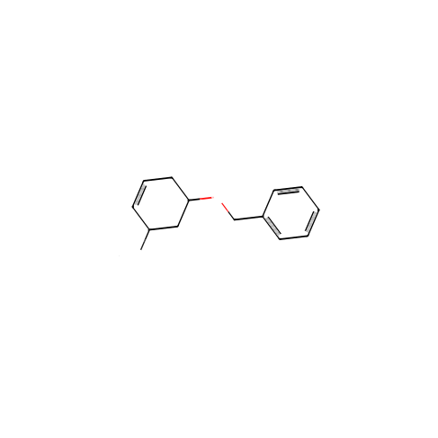 O=CC1C=CCC(OCc2ccccc2)C1